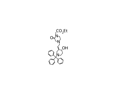 CCOC(=O)CN1CCN(CC=C2CN(C(c3ccccc3)(c3ccccc3)c3ccccc3)CCC2O)CC1=O